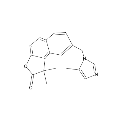 Cc1cncn1Cc1ccc2ccc3c(c2c1)C(C)(C)C(=O)O3